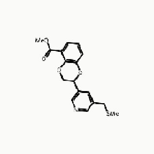 COC(=O)c1cccc2c1OCC(c1cncc(CSC)c1)O2